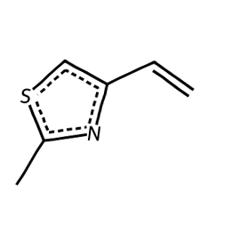 C=Cc1csc(C)n1